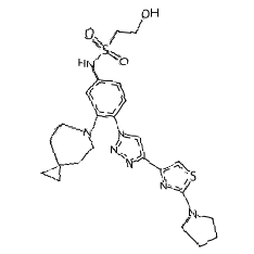 O=S(=O)(CCO)Nc1ccc(-n2cc(-c3csc(N4CCCC4)n3)nn2)c(N2CCC3(CC2)CC3)c1